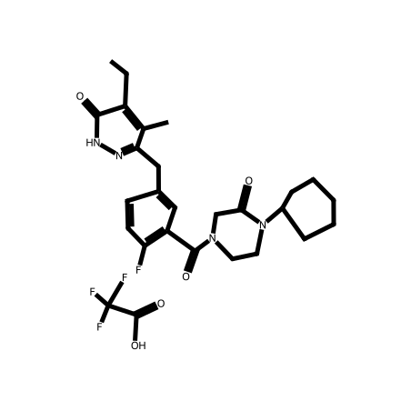 CCc1c(C)c(Cc2ccc(F)c(C(=O)N3CCN(C4CCCCC4)C(=O)C3)c2)n[nH]c1=O.O=C(O)C(F)(F)F